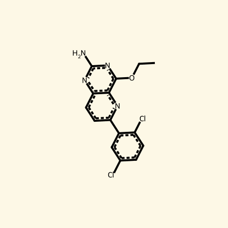 CCOc1nc(N)nc2ccc(-c3cc(Cl)ccc3Cl)nc12